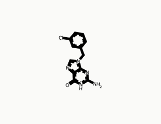 Nc1nc2c(ncn2Cc2cccc(Cl)c2)c(=O)[nH]1